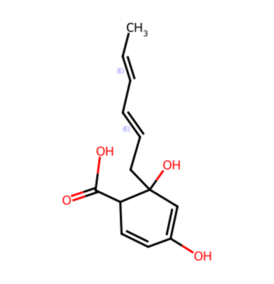 C/C=C/C=C/CC1(O)C=C(O)C=CC1C(=O)O